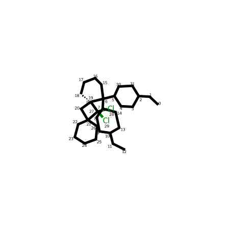 CCC1CCC(C2(C3CCC(CC)CC3)CCCC[C@]23CC2(CCCCC2)C3(Cl)Cl)CC1